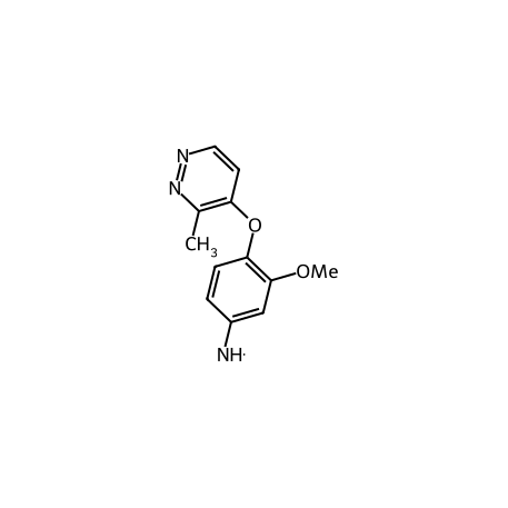 COc1cc([NH])ccc1Oc1ccnnc1C